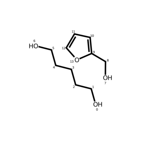 OCCCCCO.OCc1ccco1